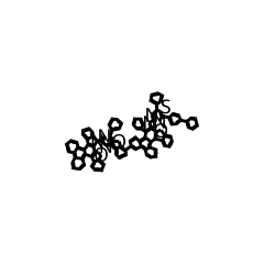 c1ccc(-c2ccc(-c3nc(-n4c5ccccc5c5c6c7ccc(-c8cccc9c8oc8c(-c%10ccccc%10)nc(-n%10c%11ccccc%11c%11c%12c%13ccccc%13c%13ccccc%13c%12c%12c%13ccccc%13oc%12c%11%10)nc89)cc7c7ccccc7c6c6c7ccccc7oc6c54)nc4c3sc3ccccc34)cc2)cc1